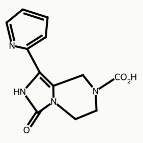 O=C(O)N1CCn2c(c(-c3ccccn3)[nH]c2=O)C1